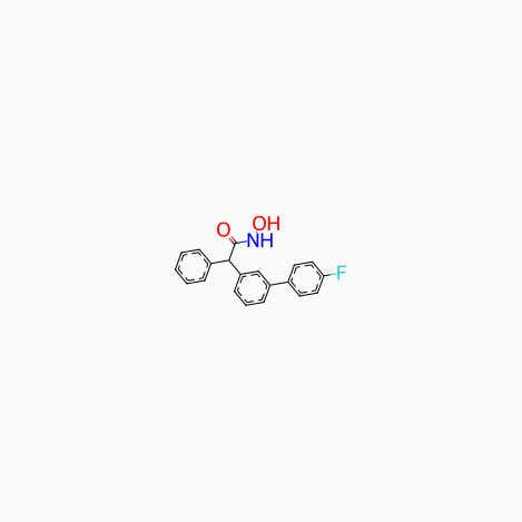 O=C(NO)C(c1ccccc1)c1cccc(-c2ccc(F)cc2)c1